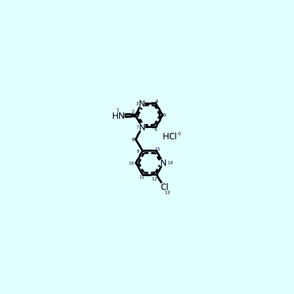 Cl.N=c1ncccn1Cc1ccc(Cl)nc1